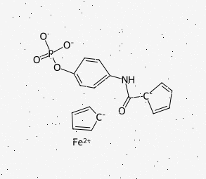 O=C(Nc1ccc(OP(=O)([O-])[O-])cc1)[c-]1cccc1.[Fe+2].c1cc[cH-]c1